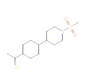 CC(S)C1CCC(C2CCN(S(C)(=O)=O)CC2)CC1